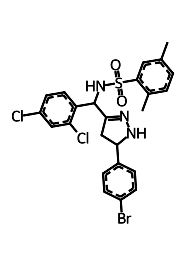 Cc1ccc(C)c(S(=O)(=O)NC(C2=NNC(c3ccc(Br)cc3)C2)c2ccc(Cl)cc2Cl)c1